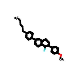 CCCCCc1ccc(-c2ccc3c(F)c(-c4ccc(OC)cc4)ccc3c2)cc1